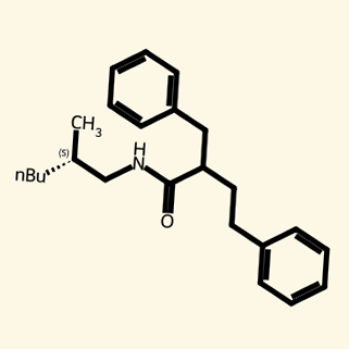 CCCC[C@H](C)CNC(=O)C(CCc1ccccc1)Cc1ccccc1